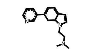 CN(C)CCN1C=CC2=CC=C(c3cccnc3)CC21